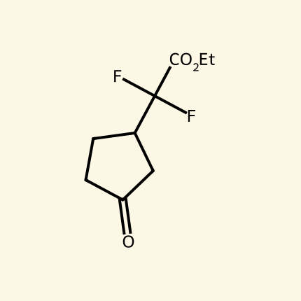 CCOC(=O)C(F)(F)C1CCC(=O)C1